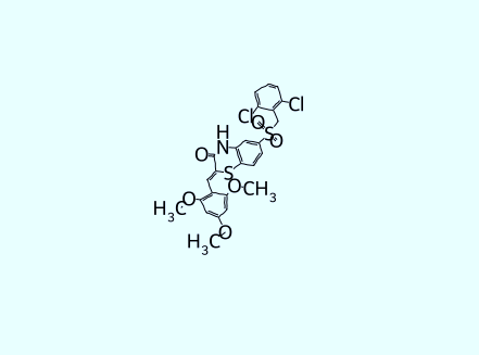 COc1cc(OC)c(C=C2Sc3ccc(S(=O)(=O)Cc4c(Cl)cccc4Cl)cc3NC2=O)c(OC)c1